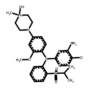 COc1cc(N2CC[PH](C)(O)CC2)ccc1N(c1nnc(Cl)c(N)n1)c1ccccc1S(=O)(=O)C(C)C